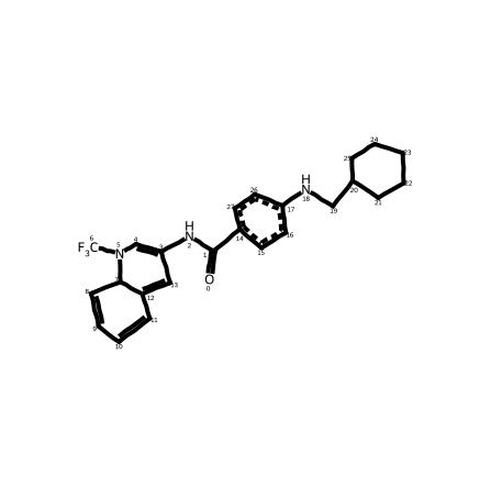 O=C(NC1=CN(C(F)(F)F)C2C=CC=CC2=C1)c1ccc(NCC2CCCCC2)cc1